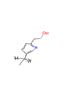 [2H]C([2H])(C)c1ccc(CCO)nc1